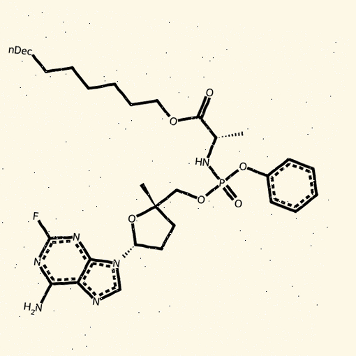 CCCCCCCCCCCCCCCCOC(=O)[C@H](C)NP(=O)(OC[C@]1(C)CC[C@H](n2cnc3c(N)nc(F)nc32)O1)Oc1ccccc1